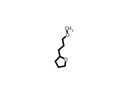 COCC[CH]C1CCCO1